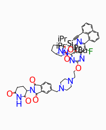 CC(C)[Si](C#Cc1cccc2cccc(-c3ncc4c(N5CC6CCC(C5)N6C(=O)OC(C)(C)C)nc(OCCN5CCN(Cc6ccc7c(c6)C(=O)N(C6CCC(=O)NC6=O)C7=O)CC5)nc4c3F)c12)(C(C)C)C(C)C